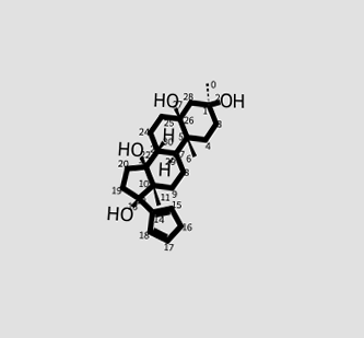 C[C@]1(O)CC[C@]2(C)[C@H]3CC[C@]4(C)[C@](O)(C5=CCC=C5)CC[C@]4(O)[C@@H]3CC[C@]2(O)C1